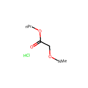 CCCOC(=O)CONC.Cl